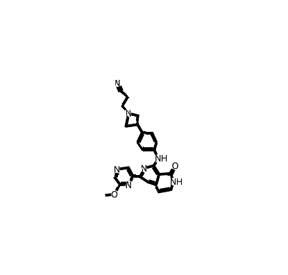 COc1cncc(-c2cc3cc[nH]c(=O)c3c(Nc3ccc(C4CN(CCC#N)C4)cc3)n2)n1